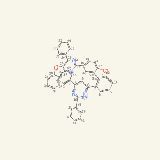 c1ccc(-c2cc(-c3cccc4oc5ccc(-c6nc(-c7ccccc7)c7oc8ccccc8c7n6)cc5c34)nc(-c3ccccc3)n2)cc1